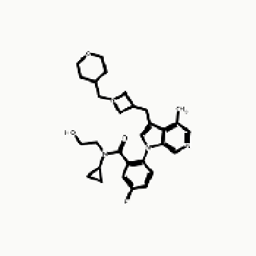 Cc1cncc2c1c(CC1CN(CC3CCOCC3)C1)cn2-c1ccc(F)cc1C(=O)N(CCO)C1CC1